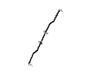 CCCCCCCCCCCCC#CC#CCCCCCCCCC(=O)NCCCCCCCCNC(=O)CCCCCCCCC#CC#CCCCCCCCCCCCC